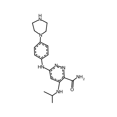 CC(C)Nc1cc(Nc2ccc(N3CCNCC3)cc2)nnc1C(N)=O